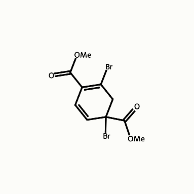 COC(=O)C1=C(Br)CC(Br)(C(=O)OC)C=C1